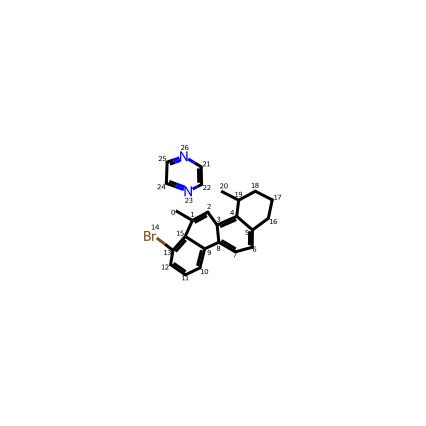 Cc1cc2c3c(ccc2c2cccc(Br)c12)CCCC3C.c1cnccn1